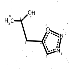 CC(O)Cc1cnno1